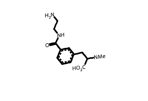 CNC(Cc1cccc(C(=O)NCCN)c1)C(=O)O